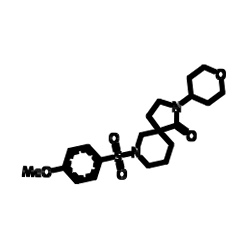 COc1ccc(S(=O)(=O)N2CCCC3(CCN(C4CCOCC4)C3=O)C2)cc1